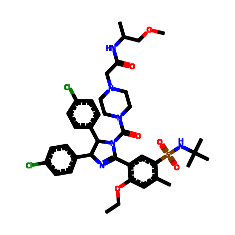 CCOc1cc(C)c(S(=O)(=O)NC(C)(C)C)cc1C1=NC(c2ccc(Cl)cc2)C(c2ccc(Cl)cc2)N1C(=O)N1CCN(CC(=O)NC(C)COC)CC1